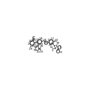 COC(=O)[C@@H]1CC[C@]12CCCc1ccc(OCc3ccc(-c4cc(C)ccc4F)c([C@@H]4CCCC4(C)C)c3)cc12